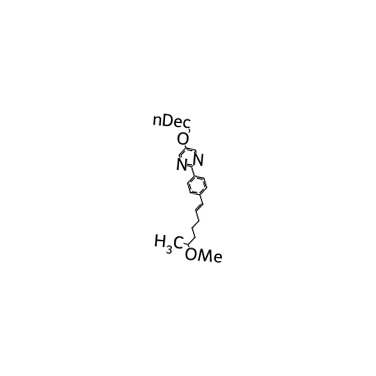 CCCCCCCCCCCOc1cnc(-c2ccc(C=CCCCC(C)OC)cc2)nc1